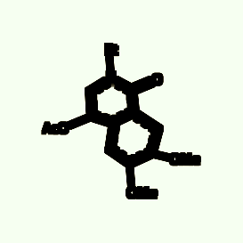 CCn1cc(OC(C)=O)c2cc(OC)c(OC)cc2c1=O